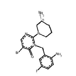 Nc1ccc(F)cc1Cn1c(N2CCC[C@@H](N)C2)ncc(Br)c1=O